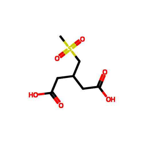 CS(=O)(=O)CC(CC(=O)O)CC(=O)O